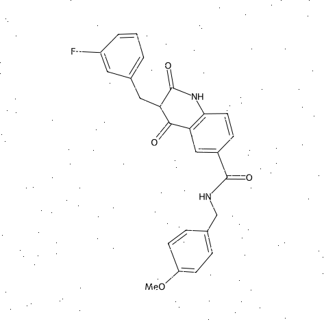 COc1ccc(CNC(=O)c2ccc3c(c2)C(=O)C(Cc2cccc(F)c2)C(=O)N3)cc1